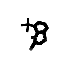 CC(C)(C)c1cccc2ncc(=O)[nH]c12